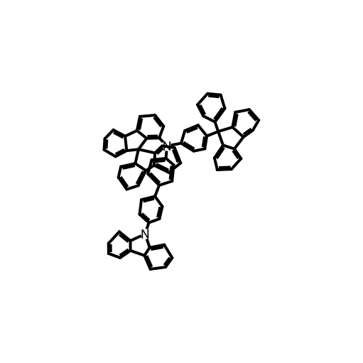 c1ccc(C2(c3ccc(N(c4ccc(-c5ccc(-n6c7ccccc7c7ccccc76)cc5)cc4)c4cccc5c4C4(c6ccccc6-c6ccccc64)c4ccccc4-5)cc3)c3ccccc3-c3ccccc32)cc1